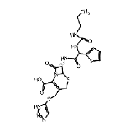 CCCNC(=O)NC(C(=O)N[C@H]1C(=O)N2C(C(=O)O)=C(CSc3cnn[nH]3)CSC12)c1cccs1